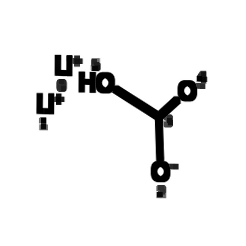 [Li+].[Li+].[O-]C([O-])O